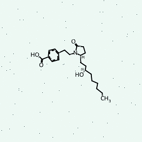 CCCCCC[C@H](O)CC[C@@H]1CCC(=O)N1CCc1ccc(C(=O)O)cc1